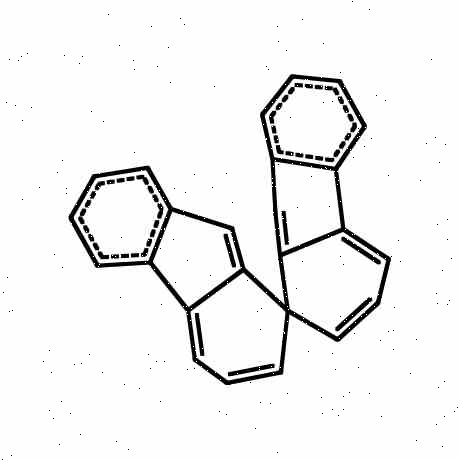 C1=CC2(C=CC=C3C2=Cc2ccccc23)C2=Cc3ccccc3C2=C1